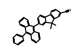 CC1(C)c2cc(C#N)ccc2-c2ccc(-c3c4ccccc4c(-c4ccccc4)c4ccccc34)cc21